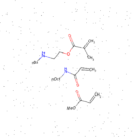 C=C(C)C(=O)OCCNCCCC.C=CC(=O)NCCCCCCCC.C=CC(=O)OC